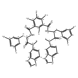 CN(C(=O)C(Cc1cc(F)cc(F)c1)NC(=O)c1c(F)c(F)c(F)c(C(=O)N[C@@H](Cc2cc(F)cc(F)c2)C(=O)N(C)c2ccc3scnc3c2)c1F)c1ccc2scnc2c1